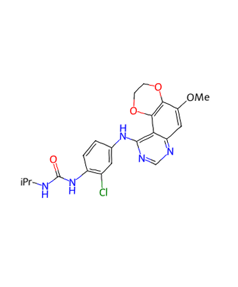 COc1cc2ncnc(Nc3ccc(NC(=O)NC(C)C)c(Cl)c3)c2c2c1OCCO2